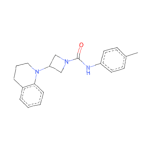 Cc1ccc(NC(=O)N2CC(N3CCCc4ccccc43)C2)cc1